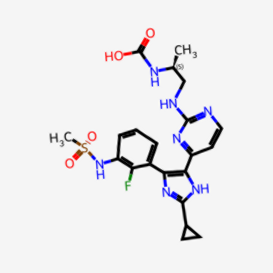 C[C@@H](CNc1nccc(-c2[nH]c(C3CC3)nc2-c2cccc(NS(C)(=O)=O)c2F)n1)NC(=O)O